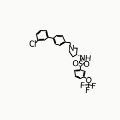 O=S(=O)(N[C@@H]1CCN(Cc2ccc(-c3cccc(Cl)c3)cc2)C1)c1cccc(OC(F)(F)F)c1